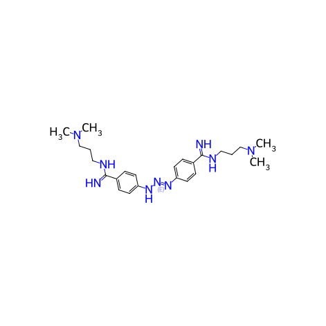 CN(C)CCCNC(=N)c1ccc(/N=N/Nc2ccc(C(=N)NCCCN(C)C)cc2)cc1